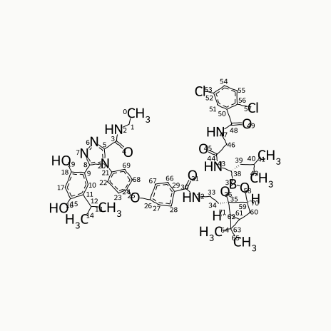 CCNC(=O)c1nnc(-c2cc(C(C)C)c(O)cc2O)n1-c1ccc(Oc2ccc(C(=O)NCC[C@]34OB([C@@H](CC(C)C)NC(=O)CNC(=O)c5cc(Cl)ccc5Cl)O[C@H]3CC3[C@H]4C3(C)C)cc2)cc1